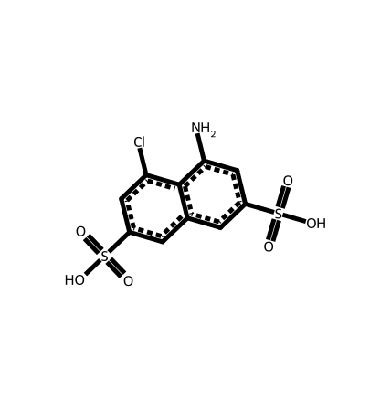 Nc1cc(S(=O)(=O)O)cc2cc(S(=O)(=O)O)cc(Cl)c12